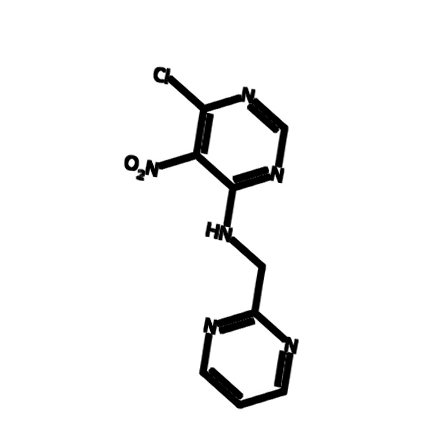 O=[N+]([O-])c1c(Cl)ncnc1NCc1ncccn1